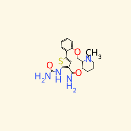 CN1CCCCC1COc1ccccc1-c1cc(C(N)=O)c(NC(N)=O)s1